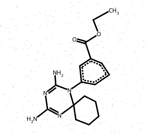 CCOC(=O)c1cccc(N2C(N)=NC(N)=NC23CCCCC3)c1